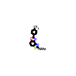 CNc1nc2c(ccc3oc(-c4ccc(C(F)(F)F)cc4)nc32)s1